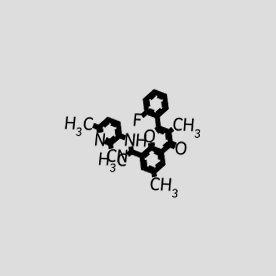 Cc1cc(C(C)Nc2ccc(C)nc2C#N)c2oc(-c3ccccc3F)c(C)c(=O)c2c1